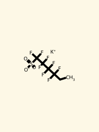 CCC(F)(F)C(F)(F)C(F)(F)C(F)(F)S(=O)(=O)[O-].[K+]